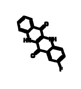 O=c1c2ccccc2[nH]c2c(=O)c3cc(F)ccc3[nH]c12